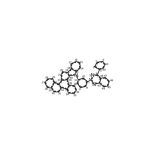 c1ccc(-c2nc(-c3cccc(-n4c5ccccc5c5ccc6c7c8ccccc8ccc7c7ccccc7c6c54)c3)nc3ccccc23)cc1